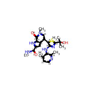 CCNC(=O)c1cc2c(-c3sc(C(C)(C)O)nc3Nc3c(C)ccnc3C)cn(C)c(=O)c2[nH]1